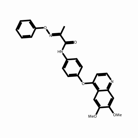 COc1cc2nccc(Oc3ccc(NC(=O)C(C)=NOc4ccccc4)cc3)c2cc1OC